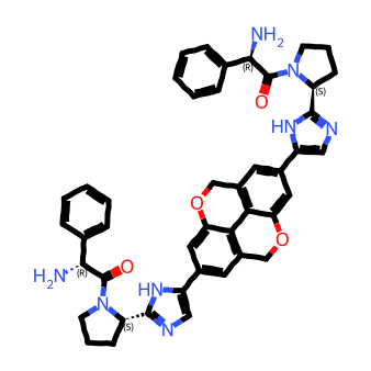 N[C@@H](C(=O)N1CCC[C@H]1c1ncc(-c2cc3c4c(c2)OCc2cc(-c5cnc([C@@H]6CCCN6C(=O)[C@H](N)c6ccccc6)[nH]5)cc(c2-4)OC3)[nH]1)c1ccccc1